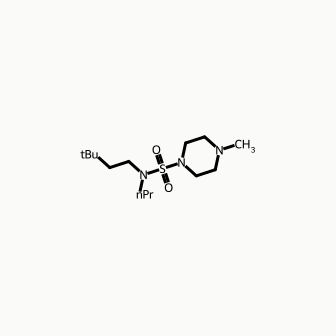 CCCN(CCC(C)(C)C)S(=O)(=O)N1CCN(C)CC1